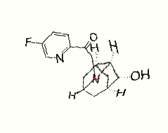 O=C(c1ccc(F)cn1)N1C[C@@H]2C[C@H]3C[C@@H](C2)[C@H]1[C@@H]3O